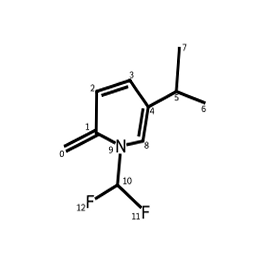 C=C1C=CC(C(C)C)=CN1C(F)F